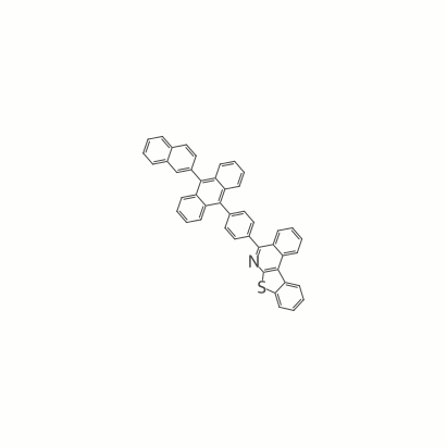 c1ccc2cc(-c3c4ccccc4c(-c4ccc(-c5nc6sc7ccccc7c6c6ccccc56)cc4)c4ccccc34)ccc2c1